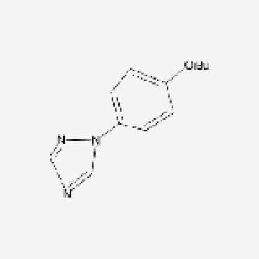 CC(C)COc1ccc(-n2cncn2)cc1